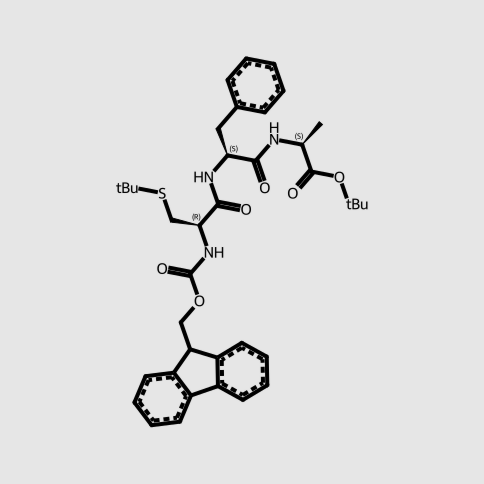 C[C@H](NC(=O)[C@H](Cc1ccccc1)NC(=O)[C@H](CSC(C)(C)C)NC(=O)OCC1c2ccccc2-c2ccccc21)C(=O)OC(C)(C)C